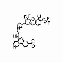 COC(=O)c1ccc2c(c1)nc(NCCN1CCC(CCN(Cc3ccc(OC(F)(F)F)c(Cl)c3)C(=O)C(F)(F)F)C1)c1ccncc12